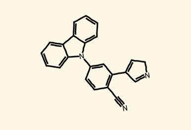 N#Cc1ccc(-n2c3ccccc3c3ccccc32)cc1C1=CCN=C1